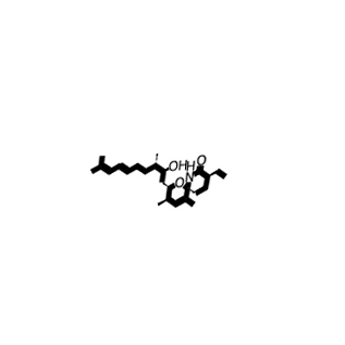 CC[C@H]1CC[C@@]2(NC1=O)O[C@@H](C[C@H](O)[C@@H](C)CC/C=C/C=C(C)C)[C@H](C)C=C2C